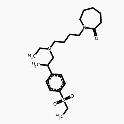 CCN(CCCCN1CCCCCC1=O)CC(C)c1ccc(S(=O)(=O)CC)cc1